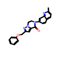 Cc1ccc2ccc(N3CCn4nc(COc5ccccc5)cc4C3=O)cc2n1